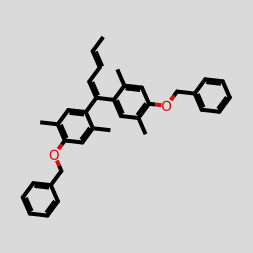 CC=CC=C(c1cc(C)c(OCc2ccccc2)cc1C)c1cc(C)c(OCc2ccccc2)cc1C